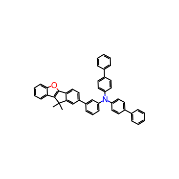 CC1(C)c2cc(-c3cccc(N(c4ccc(-c5ccccc5)cc4)c4ccc(-c5ccccc5)cc4)c3)ccc2-c2oc3ccccc3c21